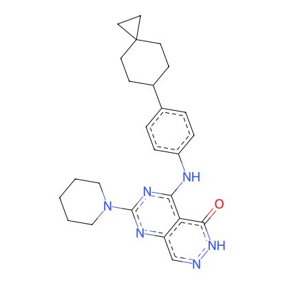 O=c1[nH]ncc2nc(N3CCCCC3)nc(Nc3ccc(C4CCC5(CC4)CC5)cc3)c12